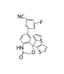 N#Cc1cc(F)cc(-c2ccc3c(c2)C(c2cccs2)(c2cccs2)OCC(=O)N3)c1